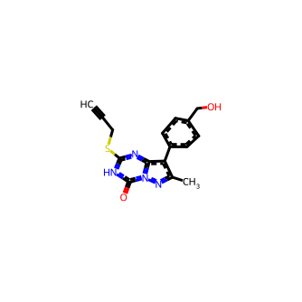 C#CCSc1nc2c(-c3ccc(CO)cc3)c(C)nn2c(=O)[nH]1